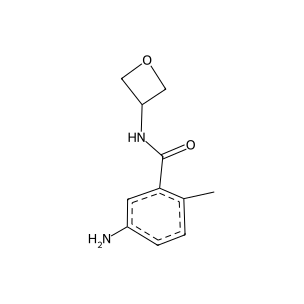 Cc1ccc(N)cc1C(=O)NC1COC1